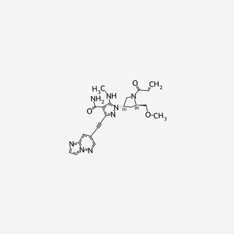 C=CC(=O)N1C[C@@H](n2nc(C#Cc3cnn4ccnc4c3)c(C(N)=O)c2NC)C[C@@H]1COC